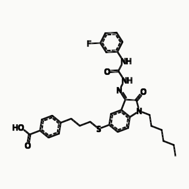 CCCCCCN1C(=O)C(=NNC(=O)Nc2cccc(F)c2)c2cc(SCCCc3ccc(C(=O)O)cc3)ccc21